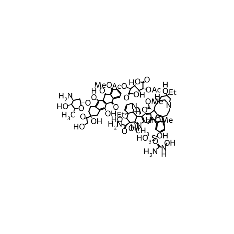 CC(=O)O[C@@H]1C(=O)O[C@@H]2[C@H]1OC(=O)[C@@H]2OC(C)=O.CC[C@]1(O)C[C@H]2C[N@](CCc3c([nH]c4ccccc34)[C@@](C(=O)OC)(c3cc4c(cc3OC)N(C)[C@H]3[C@@](O)(C(N)=O)[C@H](O)[C@]5(CC)C=CCN6CC[C@]43[C@@H]65)C2)C1.COc1cccc2c1C(=O)c1c(O)c3c(c(O)c1C2=O)C[C@@](O)(C(=O)CO)C[C@@H]3O[C@H]1C[C@H](N)[C@H](O)[C@H](C)O1.NC(=O)NO.O=S(=O)(O)O